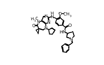 COc1cc(C(=O)NC2CCN(Cc3ccccc3)C2)ccc1Nc1ncc2c(n1)N(C1CCCC1)CC1(CC1)C(=O)N2C